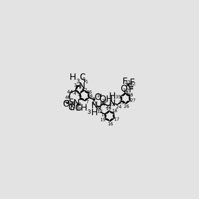 CCn1cc2c3c(cc(C(=O)N[C@@H](Cc4ccccc4)[C@H](O)CNCc4cccc(OC(F)(F)F)c4)cc31)N(C)S(=O)(=O)CC2